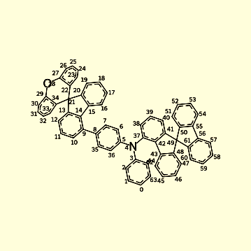 c1ccc(N(c2ccc(-c3cccc4c3-c3ccccc3C43c4ccccc4Oc4ccccc43)cc2)c2cccc3c2-c2ccccc2C32c3ccccc3-c3ccccc32)cc1